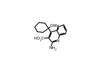 COC1(c2c(C(=O)O)c(N)nc3ccccc23)CCCCC1